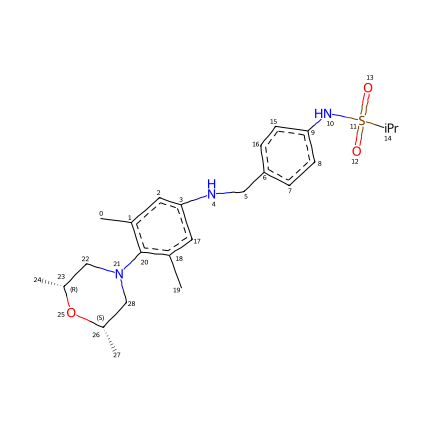 Cc1cc(NCc2ccc(NS(=O)(=O)C(C)C)cc2)cc(C)c1N1C[C@@H](C)O[C@@H](C)C1